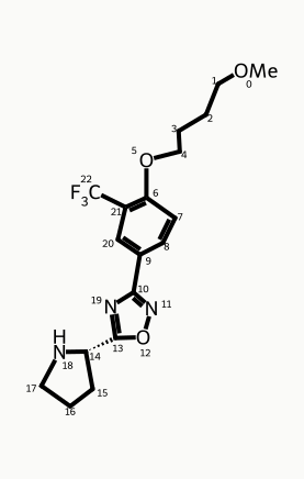 COCCCCOc1ccc(-c2noc([C@@H]3CCCN3)n2)cc1C(F)(F)F